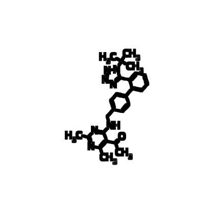 CC(=O)c1c(C)nc(C)nc1NCc1ccc(-c2ccccc2-c2nnnn2C(C)(C)C)cc1